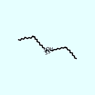 CCCCCCCC/C=C\CCCCCCCCSP(O)(=S)SCCCCCCCC/C=C\CCCCCCCC